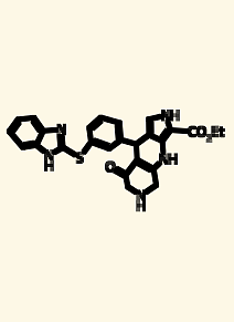 CCOC(=O)c1[nH]cc2c1NC1=C(C(=O)CNC1)C2c1cccc(Sc2nc3ccccc3[nH]2)c1